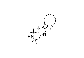 CC1(C)CC(N=C2C([N])C3CCCCCCN(C2(C)C)C3(C)C)CC(C)(C)N1